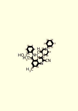 Cc1cc([C@@H](C)Nc2ccccc2C(=O)O)c2nc(N3CCN(c4ccccc4)CC3C)c(C#N)nc2c1